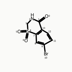 O=C1NCS(=O)(=O)c2cc(Br)ccc21